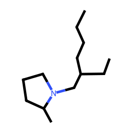 CCCCC(CC)CN1CCCC1C